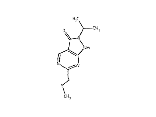 CSCc1ncc2c(=O)n(C(C)C)[nH]c2n1